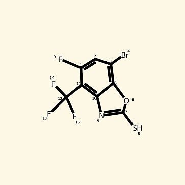 Fc1cc(Br)c2oc(S)nc2c1C(F)(F)F